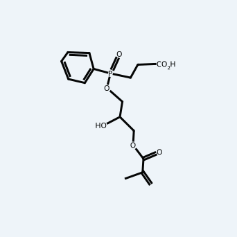 C=C(C)C(=O)OCC(O)COP(=O)(CCC(=O)O)c1ccccc1